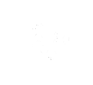 CCCC(=O)Oc1ccc(-c2ccc3c(c2COC(=O)c2ccc(C)s2)C(C)=CC(C)(C)N3)c(OC)c1